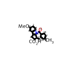 COc1ccc2c(c1)c1c(n2C(=O)c2ccc(C)cc2)C(CC(=O)O)CC1